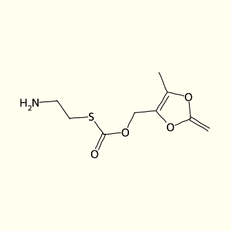 C=C1OC(C)=C(COC(=O)SCCN)O1